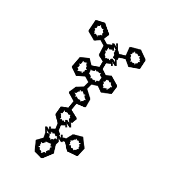 c1ccc(-c2cc(-c3c4ccccc4c(-c4ccc(-c5ccc(-c6nc7ccccc7n6-c6ccccc6)nc5)cc4)c4ccccc34)nc(-c3ccccc3)n2)cc1